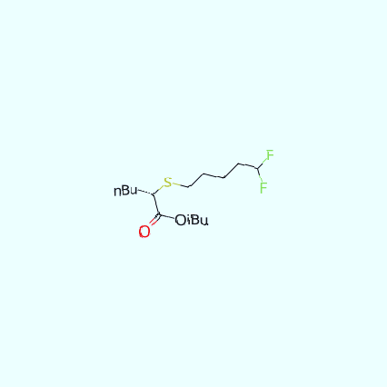 CCCCC(SCCCCC(F)F)C(=O)OCC(C)C